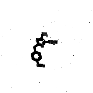 COc1ccc(Cc2nc(C)c(C(=O)O)s2)cc1